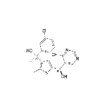 Cc1sc([C@H](O)c2cncnc2Cl)cc1[C@@](C)(O)c1cccc(Cl)c1